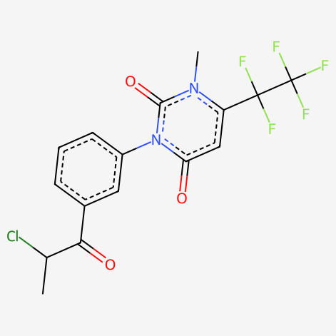 CC(Cl)C(=O)c1cccc(-n2c(=O)cc(C(F)(F)C(F)(F)F)n(C)c2=O)c1